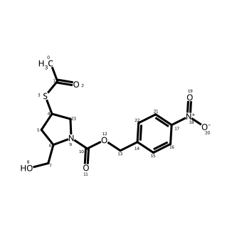 CC(=O)SC1CC(CO)N(C(=O)OCc2ccc([N+](=O)[O-])cc2)C1